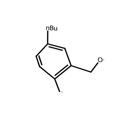 [CH2]c1ccc(CCCC)cc1C[O]